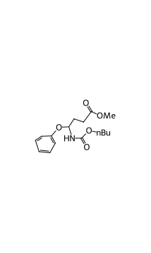 CCCCOC(=O)NC(CCC(=O)OC)Oc1ccccc1